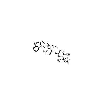 CCOCc1nc2cnc3ccccc3c2n1CC(C)(C)NC(=O)CCC(=O)NN(C(=O)O)C(C)(C)C